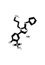 Br.CCCCn1c(-c2ccc(Cl)c(S(N)(=O)=O)c2)csc1=Nc1ccccc1